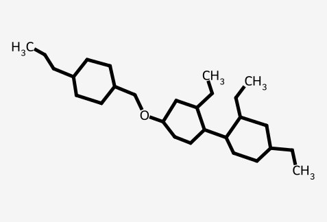 CCCC1CCC(COC2CCC(C3CCC(CC)CC3CC)C(CC)C2)CC1